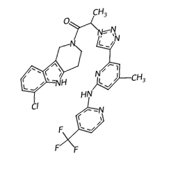 Cc1cc(Nc2cc(C(F)(F)F)ccn2)nc(-c2cn(C(C)C(=O)N3CCc4[nH]c5c(Cl)cccc5c4C3)nn2)c1